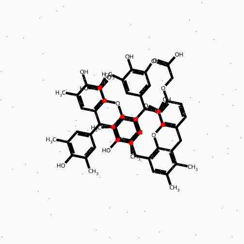 Cc1cc(Cc2ccc(OCC(=O)O)c(C(c3cc(C)c(O)c(C)c3)c3cc(C)c(O)c(C)c3)c2)c(OCC(=O)O)c(Cc2ccc(OCC(=O)O)c(C(c3cc(C)c(O)c(C)c3)c3cc(C)c(O)c(C)c3)c2)c1C